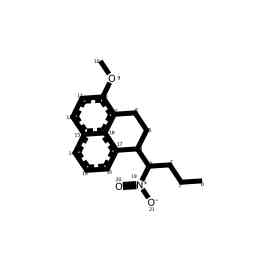 CCCC(C1CCc2c(OC)ccc3cccc1c23)[N+](=O)[O-]